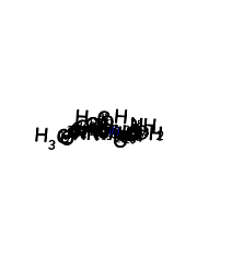 COc1ccc2c(c1)CC(C(=O)Nc1ccc(/C=N/NC(=O)c3ccc(O)c(N)c3)c(OC)c1)O2